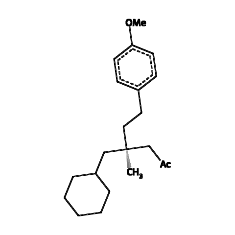 COc1ccc(CC[C@@](C)(CC(C)=O)CC2CCCCC2)cc1